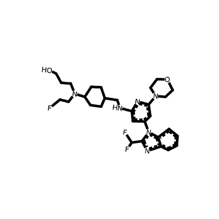 OCCCN(CCF)C1CCC(CNc2cc(-n3c(C(F)F)nc4ccccc43)cc(N3CCOCC3)n2)CC1